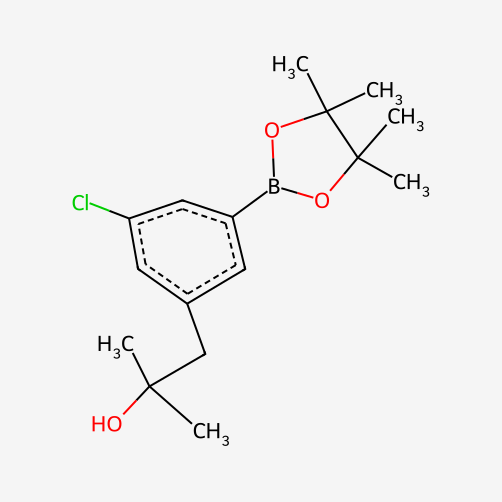 CC(C)(O)Cc1cc(Cl)cc(B2OC(C)(C)C(C)(C)O2)c1